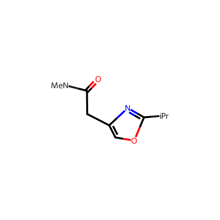 CNC(=O)Cc1coc(C(C)C)n1